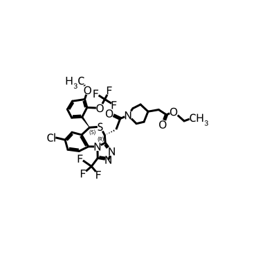 CCOC(=O)CC1CCN(C(=O)C[C@H]2S[C@H](c3cccc(OC)c3OC(F)(F)F)c3cc(Cl)ccc3-n3c2nnc3C(F)(F)F)CC1